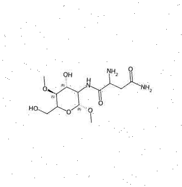 CO[C@@H]1OC(CO)[C@@H](OC)[C@H](O)C1NC(=O)C(N)CC(N)=O